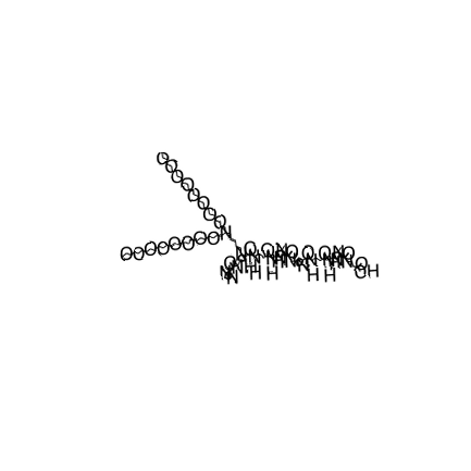 COCCOCCOCCOCCOCCOCCOCCOCCN(CCCCCn1cc(NC(=O)c2nccn2C)cc1C(=O)NCCC(=O)Nc1cn(C)c(C(=O)Nc2cc(C(=O)NCCC(=O)Nc3cn(C)c(C(=O)NCCC(=O)O)n3)n(C)c2)n1)CCOCCOCCOCCOCCOCCOCCOCCOC